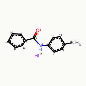 Cc1ccc(NC(=O)c2ccccc2)cc1.I